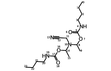 CCCCNC(=O)OC(C)N(CC#N)C(C)OC(=O)NCCCC